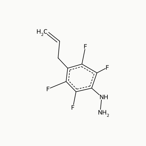 C=CCc1c(F)c(F)c(NN)c(F)c1F